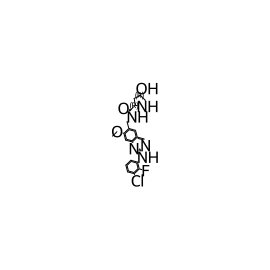 COc1cc2nc(Nc3cccc(Cl)c3F)ncc2cc1CNC(=O)[C@H]1C[C@@H](O)CN1